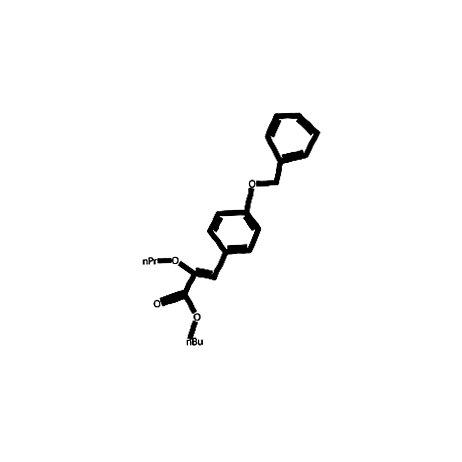 CCCCOC(=O)C(=Cc1ccc(OCc2ccccc2)cc1)OCCC